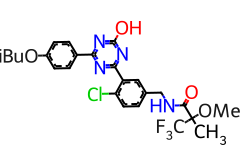 COC(C)(C(=O)NCc1ccc(Cl)c(-c2nc(O)nc(-c3ccc(OCC(C)C)cc3)n2)c1)C(F)(F)F